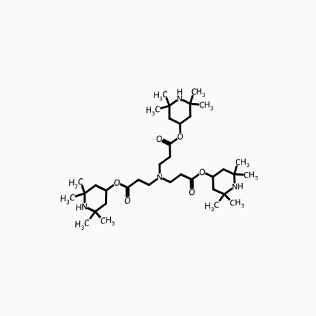 CC1(C)CC(OC(=O)CCN(CCC(=O)OC2CC(C)(C)NC(C)(C)C2)CCC(=O)OC2CC(C)(C)NC(C)(C)C2)CC(C)(C)N1